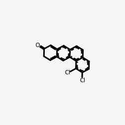 O=C1C=c2cc3ccc4ccc(Cl)c(Cl)c4c3cc2=CC1